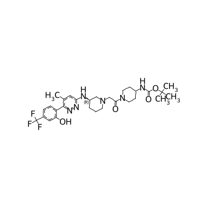 Cc1cc(N[C@@H]2CCCN(CC(=O)N3CCC(NC(=O)OC(C)(C)C)CC3)C2)nnc1-c1ccc(C(F)(F)F)cc1O